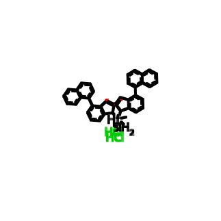 CC1=Cc2c(-c3cccc4ccccc34)cccc2[CH]1[Hf]([CH3])([CH3])(=[SiH2])[CH]1C(C)=Cc2c(-c3cccc4ccccc34)cccc21.Cl.Cl